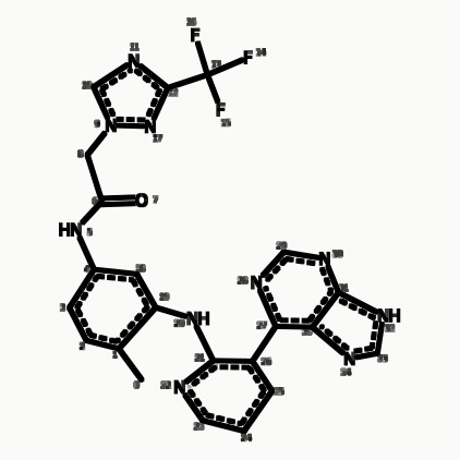 Cc1ccc(NC(=O)Cn2cnc(C(F)(F)F)n2)cc1Nc1ncccc1-c1ncnc2[nH]cnc12